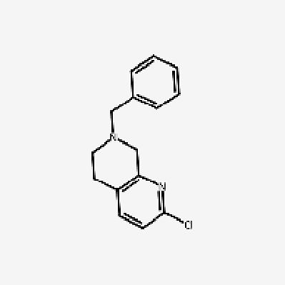 Clc1ccc2c(n1)CN(Cc1ccccc1)CC2